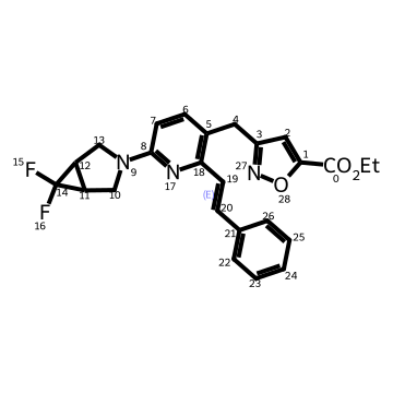 CCOC(=O)c1cc(Cc2ccc(N3CC4C(C3)C4(F)F)nc2/C=C/c2ccccc2)no1